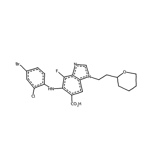 O=C(O)c1cc2c(ncn2CCC2CCCCO2)c(F)c1Nc1ccc(Br)cc1Cl